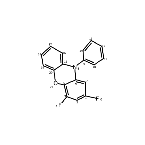 Fc1cc(F)c2c(c1)N(c1ccccc1)c1ccccc1O2